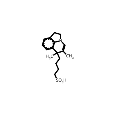 CC1=CN2CCc3cccc(c32)C1(C)CCCCS(=O)(=O)O